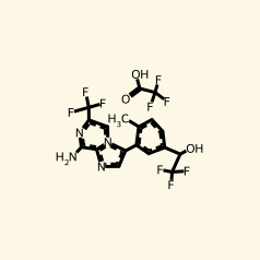 Cc1ccc(C(O)C(F)(F)F)cc1-c1cnc2c(N)nc(C(F)(F)F)cn12.O=C(O)C(F)(F)F